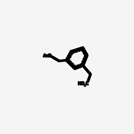 CC(=O)OCc1cccc(CC(=O)O)c1